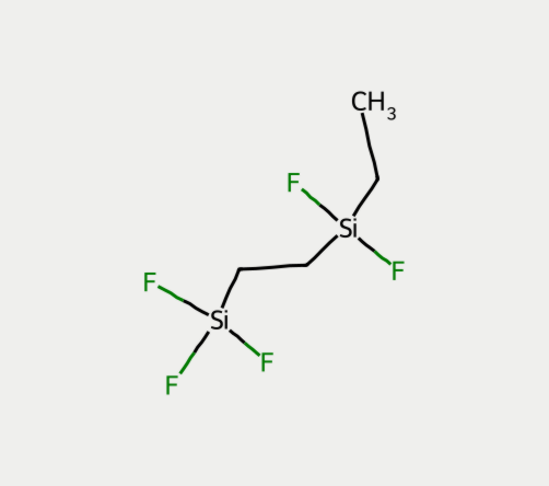 CC[Si](F)(F)CC[Si](F)(F)F